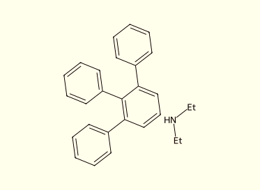 CCNCC.c1ccc(-c2cccc(-c3ccccc3)c2-c2ccccc2)cc1